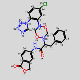 O=C1OCc2cc(NC(=O)C(Cc3ccccc3)N3CON(c4cc(Cl)ccc4-n4cnnn4)CO3)ccc21